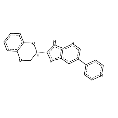 c1ccc2c(c1)OC[C@@H](c1nc3cc(-c4ccncc4)cnc3[nH]1)O2